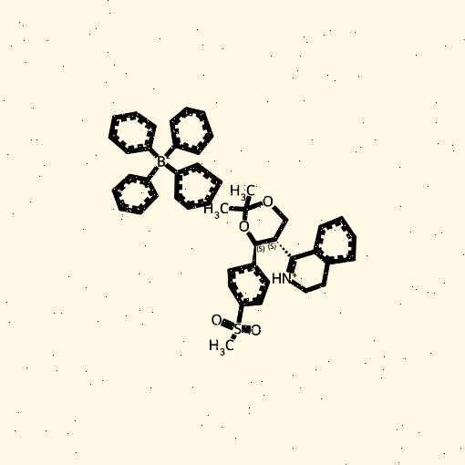 CC1(C)OC[C@H](C2=[NH+]CCc3ccccc32)[C@@H](c2ccc(S(C)(=O)=O)cc2)O1.c1ccc([B-](c2ccccc2)(c2ccccc2)c2ccccc2)cc1